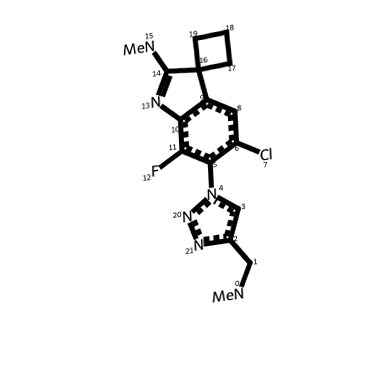 CNCc1cn(-c2c(Cl)cc3c(c2F)N=C(NC)C32CCC2)nn1